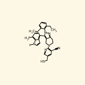 CCc1cccc(CC)c1-n1nc2c(c1-c1ccc(P)c3c1ccn3I)CN(c1ncc(CS)cc1C#N)CC2